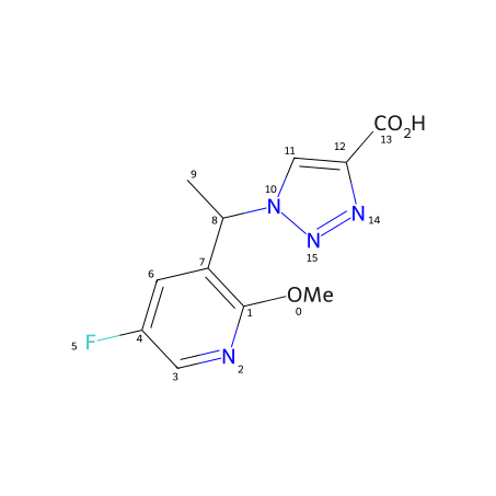 COc1ncc(F)cc1C(C)n1cc(C(=O)O)nn1